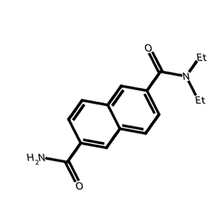 CCN(CC)C(=O)c1ccc2cc(C(N)=O)ccc2c1